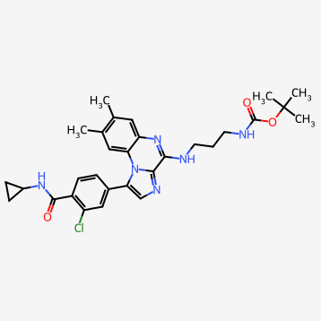 Cc1cc2nc(NCCCNC(=O)OC(C)(C)C)c3ncc(-c4ccc(C(=O)NC5CC5)c(Cl)c4)n3c2cc1C